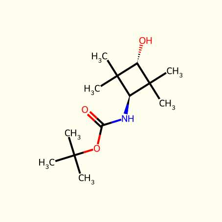 CC(C)(C)OC(=O)N[C@H]1C(C)(C)[C@H](O)C1(C)C